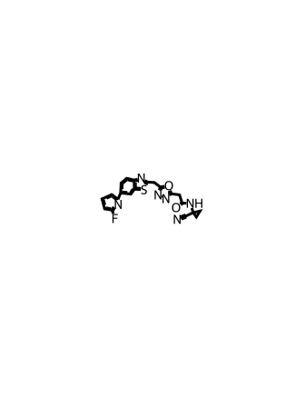 N#CC1(NC(=O)Cc2nnc(Cc3nc4ccc(-c5cccc(F)n5)cc4s3)o2)CC1